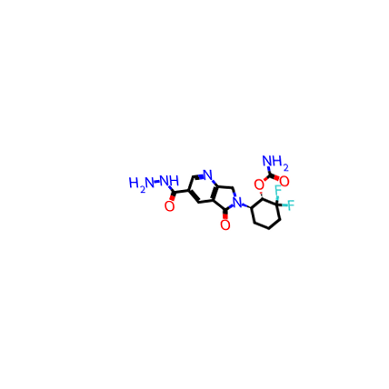 NNC(=O)c1cnc2c(c1)C(=O)N([C@@H]1CCCC(F)(F)[C@H]1OC(N)=O)C2